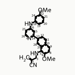 C=C(C#N)CNc1c(OC)ccc2ccc(-c3cc(Nc4cccc(OC)c4)ccn3)cc12